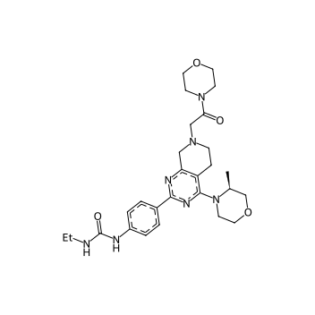 CCNC(=O)Nc1ccc(-c2nc3c(c(N4CCOC[C@@H]4C)n2)CCN(CC(=O)N2CCOCC2)C3)cc1